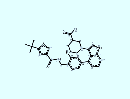 CC(C)(C)c1nc(C(=O)NCc2ccc(-c3ccnc4[nH]nc(N5CCCC(C(=O)O)C5)c34)cc2F)no1